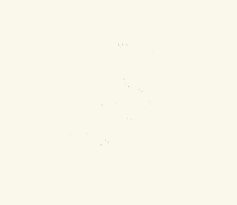 COc1ccccc1-n1nc2c3ccccc3[nH]cc-2c1=O